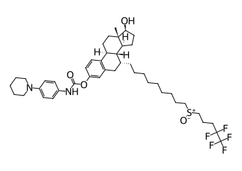 C[C@]12CC[C@@H]3c4ccc(OC(=O)Nc5ccc(N6CCCCC6)cc5)cc4C[C@@H](CCCCCCCCC[S+]([O-])CCCC(F)(F)C(F)(F)F)[C@H]3[C@@H]1CC[C@@H]2O